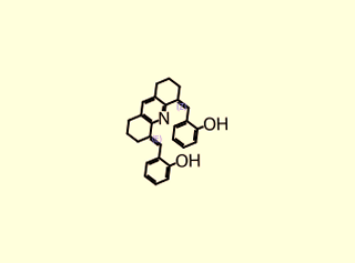 Oc1ccccc1/C=C1/CCCc2cc3c(nc21)/C(=C/c1ccccc1O)CCC3